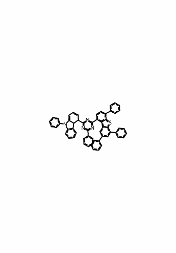 C1=CC(c2nc(-c3ccccc3)nc(-c3ccc(-c4ccccc4)c4sc5c(-c6ccccc6)cc(-c6ccccc6)cc5c34)n2)C2C(=C1)N(c1ccccc1)c1ccccc12